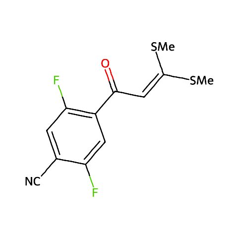 CSC(=CC(=O)c1cc(F)c(C#N)cc1F)SC